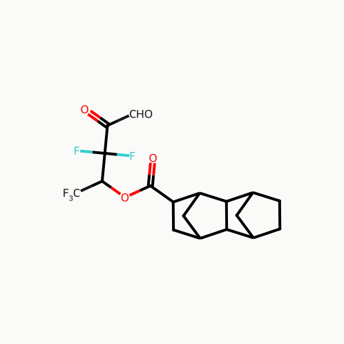 O=CC(=O)C(F)(F)C(OC(=O)C1CC2CC1C1C3CCC(C3)C21)C(F)(F)F